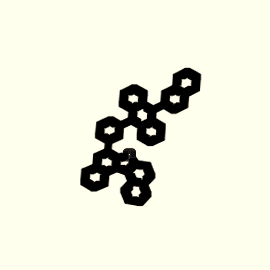 c1cc(-c2c3ccccc3c(-c3ccc4ccccc4c3)c3ccccc23)cc(-c2cc3ccccc3c3c2oc2ccc4ccccc4c23)c1